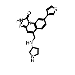 O=c1[nH]nc2cc(CN[C@@H]3CCNC3)c3ccc(-c4ccsc4)cc3n12